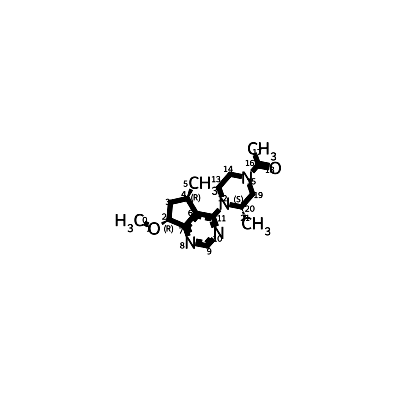 CO[C@@H]1C[C@@H](C)c2c1ncnc2N1CCN(C(C)=O)C[C@@H]1C